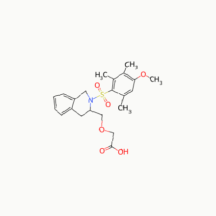 COc1cc(C)c(S(=O)(=O)N2Cc3ccccc3CC2COCC(=O)O)c(C)c1C